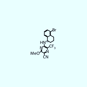 COc1nc(N[C@H]2CCCc3c(Br)cccc32)c(C(F)(F)F)nc1C#N